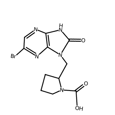 O=C(O)N1CCCC1Cn1c(=O)[nH]c2ncc(Br)nc21